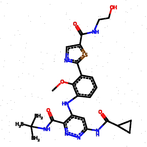 BC(B)(B)NC(=O)c1nnc(NC(=O)C2CC2)cc1Nc1cccc(-c2ncc(C(=O)NCCO)s2)c1OC